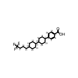 O=C(O)c1ccc(C2CCC(C3CCC(CCCC(F)(F)F)CC3)CC2)cc1